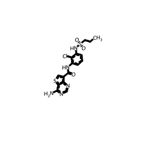 CCCS(=O)(=O)Nc1cccc(NC(=O)c2csc3c(N)ncnc23)c1Cl